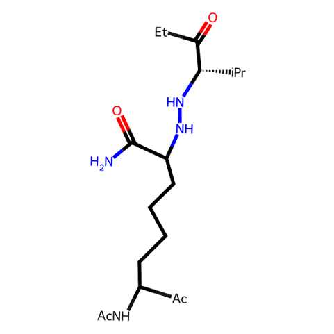 CCC(=O)[C@@H](NNC(CCCCC(NC(C)=O)C(C)=O)C(N)=O)C(C)C